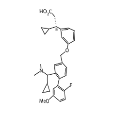 COc1ccc(F)c(-c2ccc(COc3cccc([C@@H](CC(=O)O)C4CC4)c3)cc2C(C2CC2)N(C)C)c1